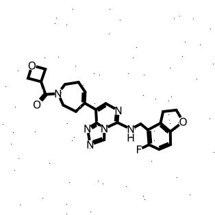 O=C(C1COC1)N1CCC=C(c2cnc(NCc3c(F)ccc4c3CCO4)n3cnnc23)CC1